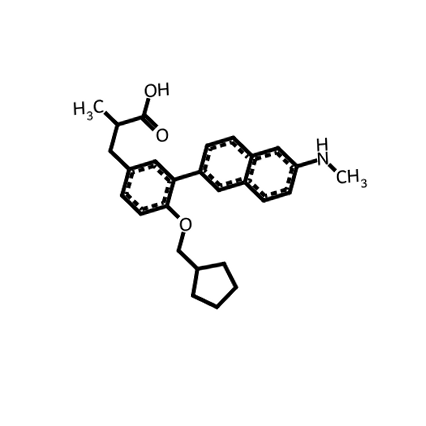 CNc1ccc2cc(-c3cc(CC(C)C(=O)O)ccc3OCC3CCCC3)ccc2c1